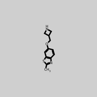 Cc1nc2ccc(OCC3CNC3)cc2s1